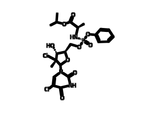 CC(C)OC(=O)[C@@H](C)N[P@](=O)(OC[C@H]1OC(n2cc(Cl)c(=O)[nH]c2=O)[C@](C)(Cl)[C@@H]1O)Oc1ccccc1